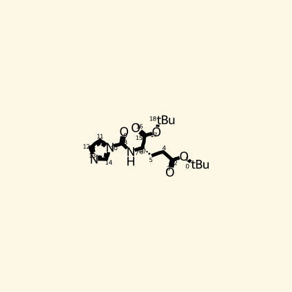 CC(C)(C)OC(=O)CC[C@H](NC(=O)n1ccnc1)C(=O)OC(C)(C)C